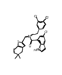 CC1(C)CCc2sc(CN(CCc3ccc(Cl)c(Cl)c3)C(=O)c3cc(Cl)cc4cc[nH]c34)cc2C1